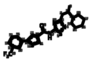 CC(Cc1nsc(NC(=O)c2csc(-c3cccc(C(F)(F)F)c3)c2)n1)N1CCCCC1